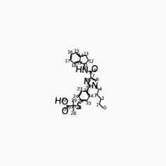 CCCCCn1cc(C(=O)NC2CCc3ccccc32)nc1-c1ccc(SC(C)(C)C(=O)O)cc1